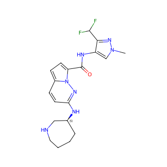 Cn1cc(NC(=O)c2ccc3ccc(N[C@H]4CCCCNC4)nn23)c(C(F)F)n1